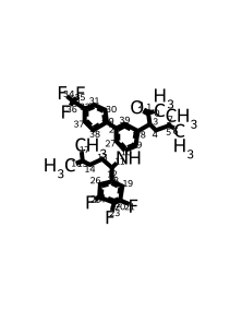 CC(=O)C(CC(C)C)c1cc(NC(CCC(C)C)c2cc(F)c(F)c(F)c2)cc(-c2ccc(C(F)(F)F)cc2)c1